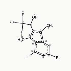 Cc1c(C(O)C(F)(F)F)n(C)c2c(F)cc(F)cc12